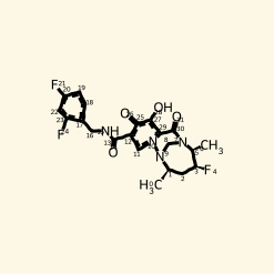 C[C@@H]1C[C@H](F)[C@H](C)N2CN1n1cc(C(=O)NCc3ccc(F)cc3F)c(=O)c(O)c1C2=O